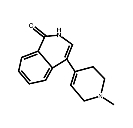 CN1CC=C(c2c[nH]c(=O)c3ccccc23)CC1